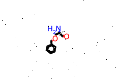 C[C@](N)(C=O)COCc1ccccc1